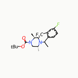 CC(c1ccc(F)cc1C(F)(F)F)N1C[C@H](C)N(C(=O)OC(C)(C)C)C[C@H]1C